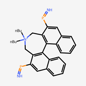 CCCC[N+]1(CCCC)Cc2c(P=N)cc3ccccc3c2-c2c(c(P=N)cc3ccccc23)C1